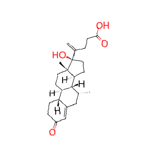 C=C(CCC(=O)O)[C@]1(O)CC[C@H]2[C@H]3[C@H](CC[C@@]21C)[C@H]1CCC(=O)C=C1C[C@H]3C